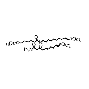 CCCCCCCCC=CCCCCCCCC(N)=O.CCCCCCCCC=CCCCCCCCCNC(=O)CCCCCCCCCCCCCCC